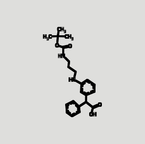 CC(C)(C)OC(=O)NCCCNc1cccc(C(C(=O)O)c2ccccc2)c1